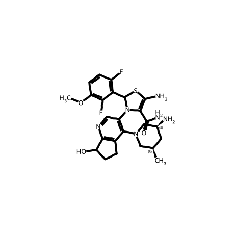 COc1ccc(F)c(C2SC(N)=C(C(N)=O)N2c2cnc3c(c2N2C[C@H](C)C[C@H](N)C2)CCC3O)c1F